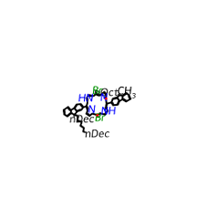 CCCCCCCCCCCCCCCCC1(CCCCCCCCCC)c2ccccc2-c2ccc(-c3c4nc(c(Br)c5ccc([nH]5)c(-c5ccc6c(c5)C(C)(CCCCCCCC)c5ccccc5-6)c5nc(c(Br)c6ccc3[nH]6)C=C5)C=C4)cc21